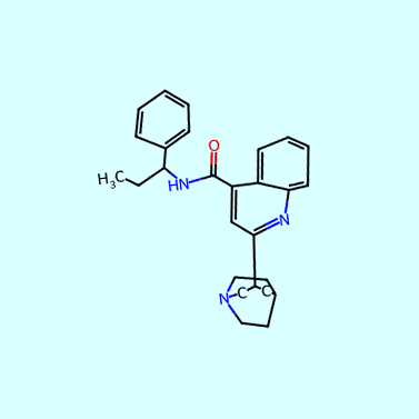 CCC(NC(=O)c1cc(C2CC3CCN(CC3)C2)nc2ccccc12)c1ccccc1